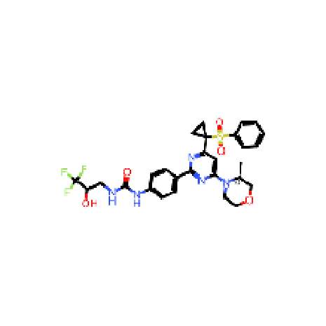 C[C@H]1COCCN1c1cc(C2(S(=O)(=O)c3ccccc3)CC2)nc(-c2ccc(NC(=O)NCC(O)C(F)(F)F)cc2)n1